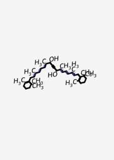 CC1=C(C/C=C(C)/C=C/C=C(\C)C(O)C#CC(O)/C(C)=C/C=C/C(C)=C/CC2=C(C)CCCC2(C)C)C(C)(C)CCC1